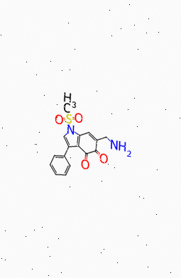 CS(=O)(=O)n1cc(-c2ccccc2)c2c1C=C(CN)C(=O)C2=O